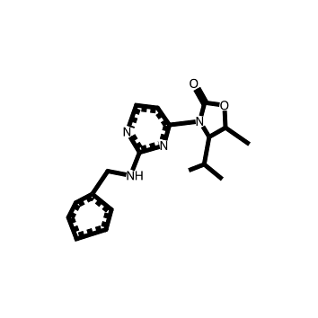 CC(C)C1C(C)OC(=O)N1c1ccnc(NCc2ccccc2)n1